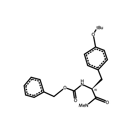 CNC(=O)[C@H](Cc1ccc(OC(C)(C)C)cc1)NC(=O)OCc1ccccc1